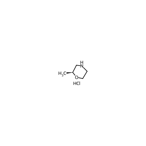 C[C@H]1CNCCO1.Cl